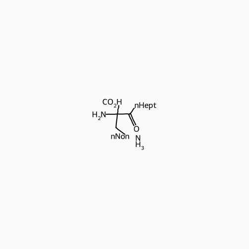 CCCCCCCCCCC(N)(C(=O)O)C(=O)CCCCCCC.N